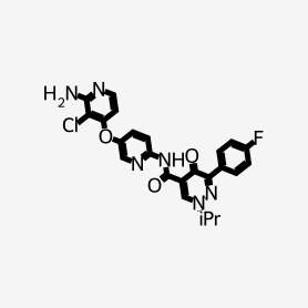 CC(C)n1cc(C(=O)Nc2ccc(Oc3ccnc(N)c3Cl)cn2)c(=O)c(-c2ccc(F)cc2)n1